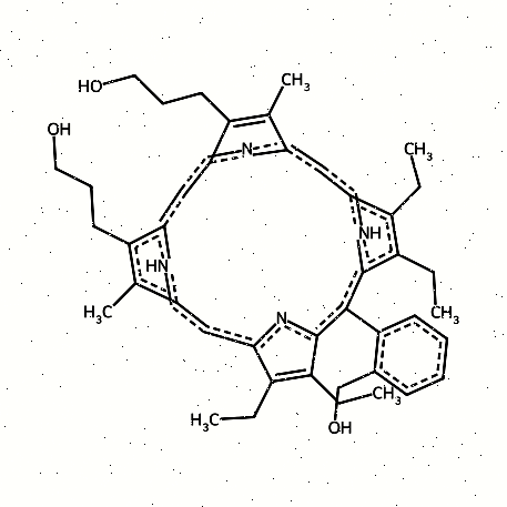 CCC1=C(CC)c2nc1cc1[nH]c(cc3nc(cc4[nH]c(c(CC)c4CC)c2-c2ccccc2CO)C(C)=C3CCCO)c(CCCO)c1C